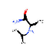 C=C(NC(C)C)C(N)=O